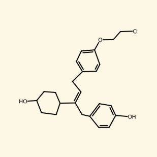 Oc1ccc(CC(=CCc2ccc(OCCCl)cc2)C2CCC(O)CC2)cc1